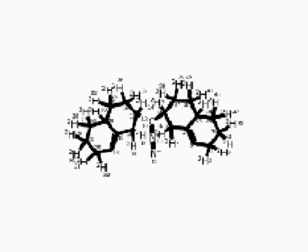 [2H]C1([2H])C=C2C([2H])([2H])C([2H])([13C](=[N+]=[N-])C3([2H])C([2H])([2H])C4=CC([2H])([2H])C([2H])([2H])C([2H])([2H])C4([2H])C([2H])([2H])C3([2H])[2H])C([2H])([2H])C([2H])([2H])C2([2H])C([2H])([2H])C1([2H])[2H]